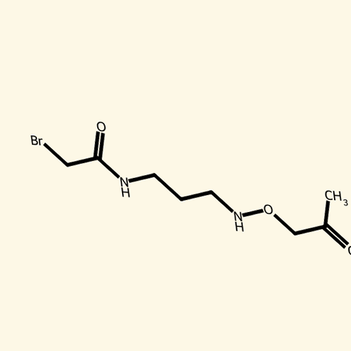 C=C(C)CONCCCNC(=O)CBr